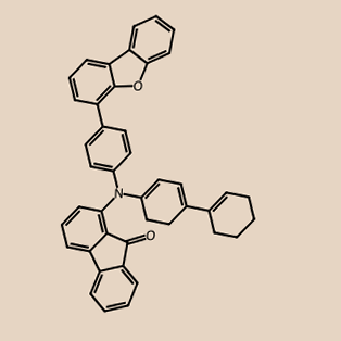 O=C1c2ccccc2-c2cccc(N(C3=CC=C(C4=CCCCC4)CC3)c3ccc(-c4cccc5c4oc4ccccc45)cc3)c21